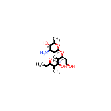 C=C(C(=O)CC)/C(O)=C(\C)[C@H](CCO)O[C@H]1CC(N)[C@@H](O)C(C)O1